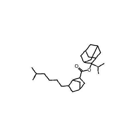 CC(C)CCCCC1CC2CC(C(=O)OC3(C(C)C)C4CC5CC(C4)CC3C5)C1C2